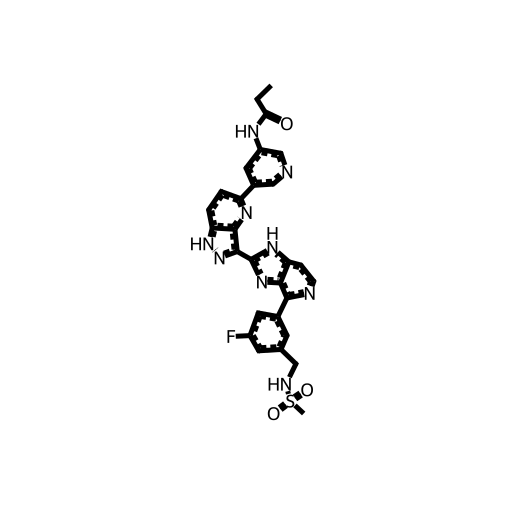 CCC(=O)Nc1cncc(-c2ccc3[nH]nc(-c4nc5c(-c6cc(F)cc(CNS(C)(=O)=O)c6)nccc5[nH]4)c3n2)c1